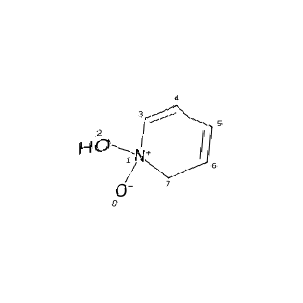 [O-][N+]1(O)C=CC=CC1